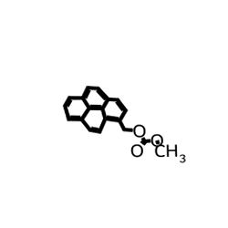 COC(=O)OCc1ccc2ccc3cccc4ccc1c2c34